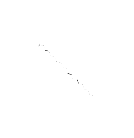 CCCCC/C=C/C/C=C/CCCCCC/C=C/CC(=O)O